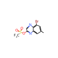 Cc1cc(Br)c2ncc(OS(=O)(=O)C(F)(F)F)nc2c1